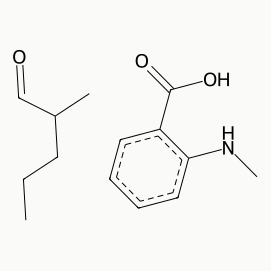 CCCC(C)C=O.CNc1ccccc1C(=O)O